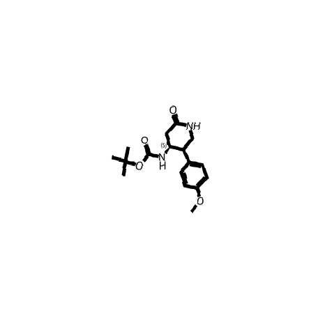 COc1ccc(C2CNC(=O)C[C@@H]2NC(=O)OC(C)(C)C)cc1